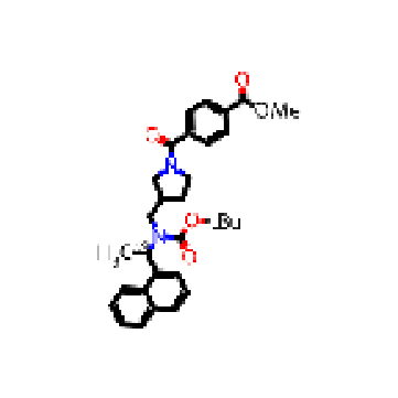 COC(=O)c1ccc(C(=O)N2CCC(CN(C(=O)OC(C)(C)C)[C@H](C)c3cccc4ccccc34)C2)cc1